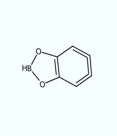 B1OC2=C(C=C=C=C2)O1